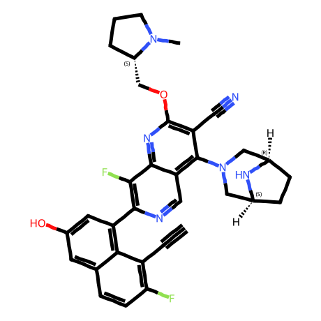 C#Cc1c(F)ccc2cc(O)cc(-c3ncc4c(N5C[C@H]6CC[C@@H](C5)N6)c(C#N)c(OC[C@@H]5CCCN5C)nc4c3F)c12